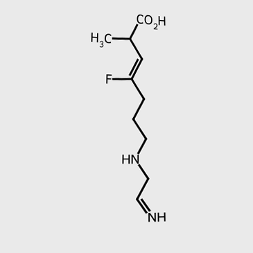 CC(C=C(F)CCCNCC=N)C(=O)O